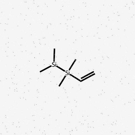 C=C[Si](C)(C)[Si](C)C